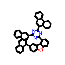 C1=Cc2c(-c3nc(-c4ccc5ccccc5c4)nc(-c4cccc5oc6ccc(-c7cccc8ccccc78)cc6c45)n3)cc3ccccc3c2CC1